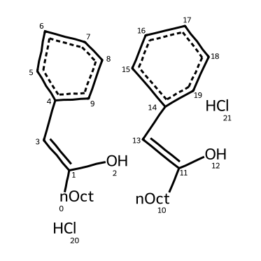 CCCCCCCC/C(O)=C/c1ccccc1.CCCCCCCC/C(O)=C/c1ccccc1.Cl.Cl